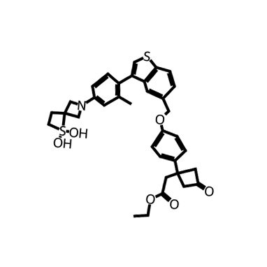 CCOC(=O)CC1(c2ccc(OCc3ccc4scc(-c5ccc(N6CC7(CCS7(O)O)C6)cc5C)c4c3)cc2)CC(=O)C1